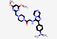 COc1cc(OC)nc(CN2CCN(C(=O)CNc3c(-c4ccc(N(C)C)cc4)nc4cnccn34)CC2)n1